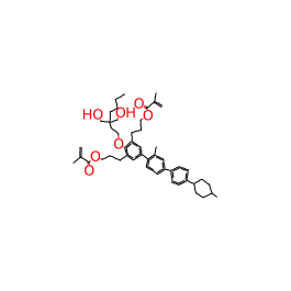 C=C(C)C(=O)OCCCc1cc(-c2ccc(-c3ccc(C4CCC(C)CC4)cc3)cc2C)cc(CCCOC(=O)C(=C)C)c1OCCC(CO)(CO)CCCC